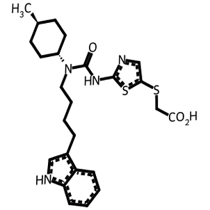 C[C@H]1CC[C@H](N(CCCCc2c[nH]c3ccccc23)C(=O)Nc2ncc(SCC(=O)O)s2)CC1